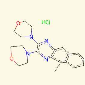 Cc1c2ccccc2cc2nc(N3CCOCC3)c(N3CCOCC3)nc12.Cl